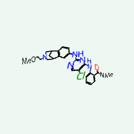 CNC(=O)c1ccccc1Nc1nc(Nc2ccc3c(c2)C2CC3CN(CCOC)C2)ncc1Cl